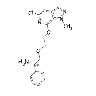 Cn1ncc2cc(Cl)nc(OCCOC[C@@H](N)c3ccccc3)c21